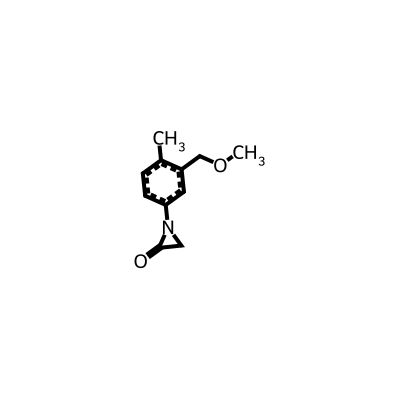 COCc1cc(N2CC2=O)ccc1C